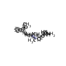 C=N/C(=N\C=C(/C)c1cccc(COC(=O)NC(=N)N)c1F)N1CC(=NOCC(COC(=O)CC)COC2CCCCO2)C1